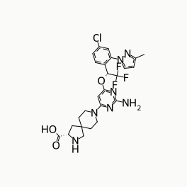 Cc1ccn(-c2cc(Cl)ccc2[C@@H](Oc2cc(N3CCC4(CC3)CN[C@H](C(=O)O)C4)nc(N)n2)C(F)(F)F)n1